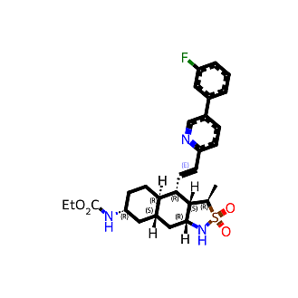 CCOC(=O)N[C@@H]1CC[C@@H]2[C@@H](C1)C[C@H]1NS(=O)(=O)[C@H](C)[C@H]1[C@H]2/C=C/c1ccc(-c2cccc(F)c2)cn1